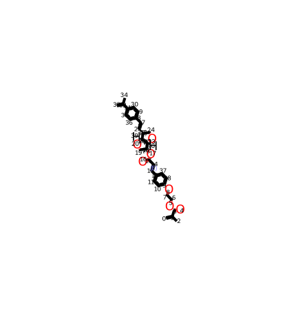 C=C(C)C(=O)OCCOc1ccc(/C=C/C(=O)O[C@@H]2CO[C@H]3[C@@H]2OC[C@@H]3C=Cc2ccc(C(=C)C)cc2)cc1